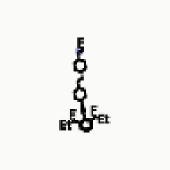 CCC(F)c1cccc(C(F)CC)c1C#CC1CCC(CC[C@H]2CC[C@H](/C=C/F)CC2)CC1